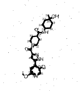 COc1cc(-c2cc(C(=O)N3CCC(C(=O)NC4CCC(C)(O)CC4)CC3)n[nH]2)c(Cl)cn1